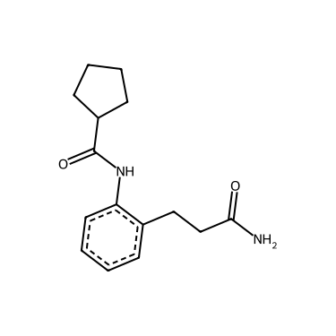 NC(=O)CCc1ccccc1NC(=O)C1CCCC1